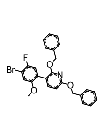 COc1cc(Br)c(F)cc1-c1ccc(OCc2ccccc2)nc1OCc1ccccc1